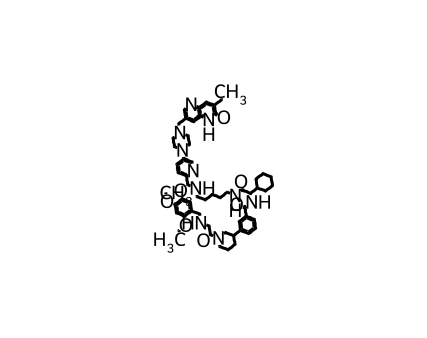 CCOc1cc(OC)ccc1CNCC(=O)N1CCCC(c2cccc(C(=O)N[C@@H](C(=O)NCCCCCNC(=O)c3ccc(N4CCN(Cc5cnc6cc(CC)c(=O)[nH]c6c5)CC4)cn3)C3CCCCC3)c2)C1